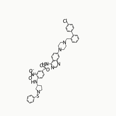 O=[N+]([O-])c1cc(S(=O)(=O)Nc2ncnc3cc(N4CCN(Cc5ccccc5-c5ccc(Cl)cc5)CC4)ccc23)ccc1NC1CCN(Sc2ccccc2)C1